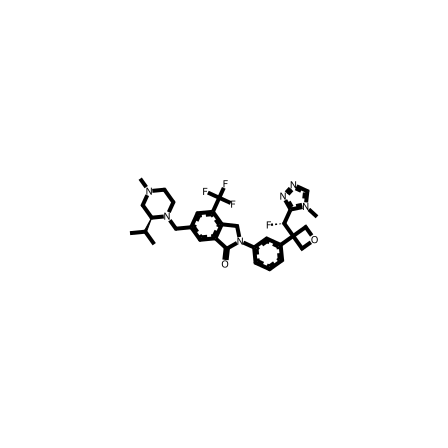 CC(C)[C@H]1CN(C)CCN1Cc1cc2c(c(C(F)(F)F)c1)CN(c1cccc(C3([C@H](F)c4nncn4C)COC3)c1)C2=O